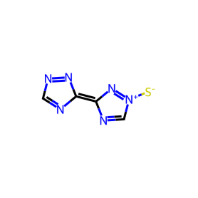 [S-][N+]1=NC(=C2N=CN=N2)N=C1